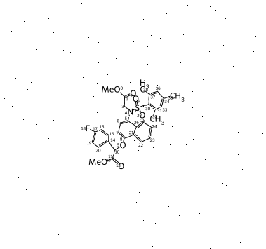 COC(=O)CN(c1ccc(OC(C(=O)OC)c2ccc(F)cc2)c2ccccc12)S(=O)(=O)c1c(C)cc(C)cc1C